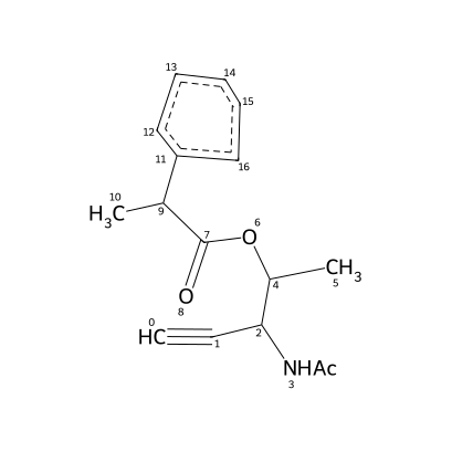 C#CC(NC(C)=O)C(C)OC(=O)C(C)c1ccccc1